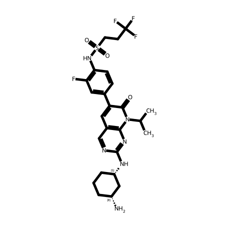 CC(C)n1c(=O)c(-c2ccc(NS(=O)(=O)CCC(F)(F)F)c(F)c2)cc2cnc(N[C@H]3CCC[C@@H](N)C3)nc21